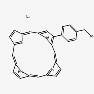 NCc1ccc(-c2cc3cc4nc(cc5ccc(cc6nc(cc2[nH]3)C=C6)[nH]5)C=C4)cc1.[Au]